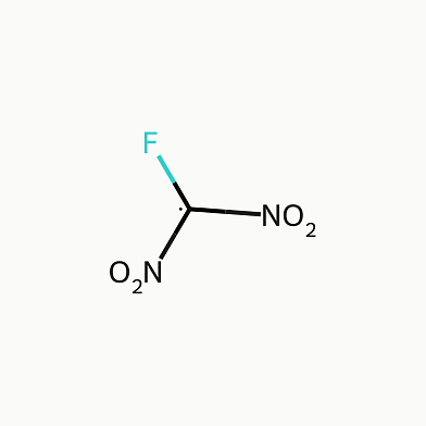 O=[N+]([O-])[C](F)[N+](=O)[O-]